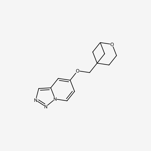 c1cn2nncc2cc1OCC12CCOC(C1)C2